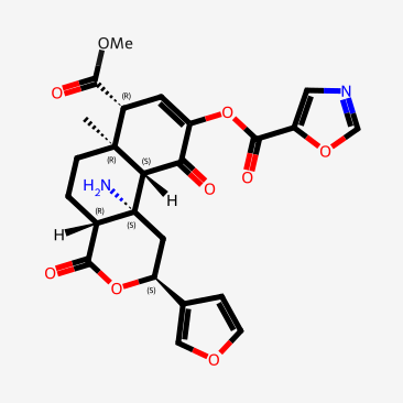 COC(=O)[C@@H]1C=C(OC(=O)c2cnco2)C(=O)[C@H]2[C@@]1(C)CC[C@H]1C(=O)O[C@H](c3ccoc3)C[C@@]12N